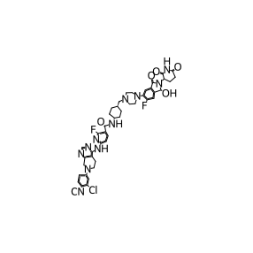 N#Cc1ccc(N2CCc3c(ncnc3Nc3ccc(C(=O)N[C@H]4CC[C@H](CN5CCN(c6cc7c(cc6F)C(O)N(C6CCC(=O)NC6=O)C7=O)CC5)CC4)c(F)n3)C2)cc1Cl